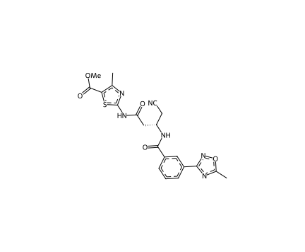 COC(=O)c1sc(NC(=O)C[C@H](CC#N)NC(=O)c2cccc(-c3noc(C)n3)c2)nc1C